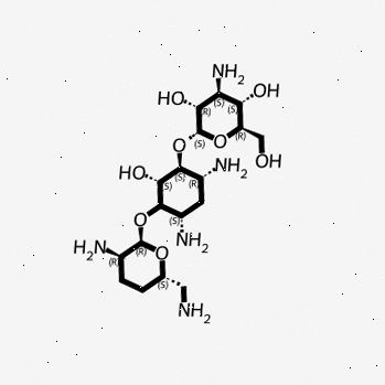 NC[C@@H]1CC[C@@H](N)[C@@H](OC2[C@@H](N)C[C@@H](N)[C@H](O[C@H]3O[C@H](CO)[C@@H](O)[C@H](N)[C@H]3O)[C@H]2O)O1